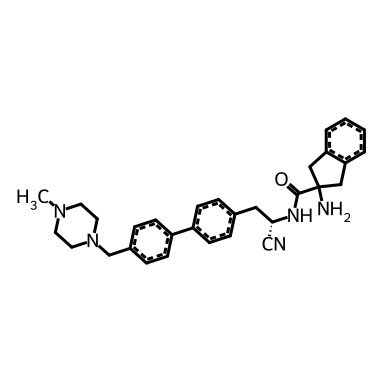 CN1CCN(Cc2ccc(-c3ccc(C[C@@H](C#N)NC(=O)C4(N)Cc5ccccc5C4)cc3)cc2)CC1